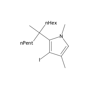 CCCCCCC(C)(CCCCC)c1c(I)c(C)cn1C